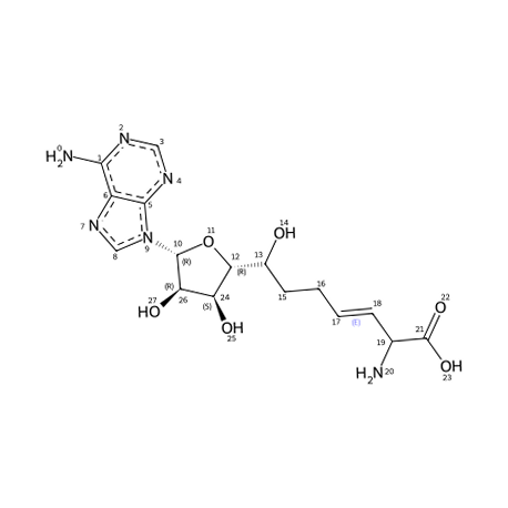 Nc1ncnc2c1ncn2[C@@H]1O[C@H](C(O)CC/C=C/C(N)C(=O)O)[C@@H](O)[C@H]1O